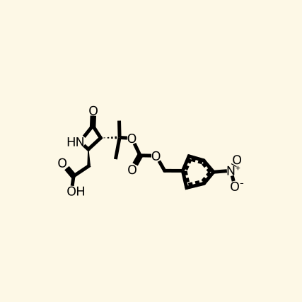 CC(C)(OC(=O)OCc1ccc([N+](=O)[O-])cc1)[C@H]1C(=O)N[C@@H]1CC(=O)O